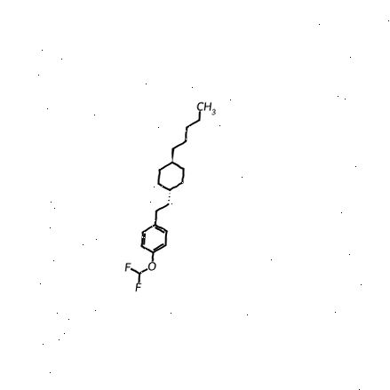 CCCCC[C@H]1CC[C@H](CCc2ccc(OC(F)F)cc2)CC1